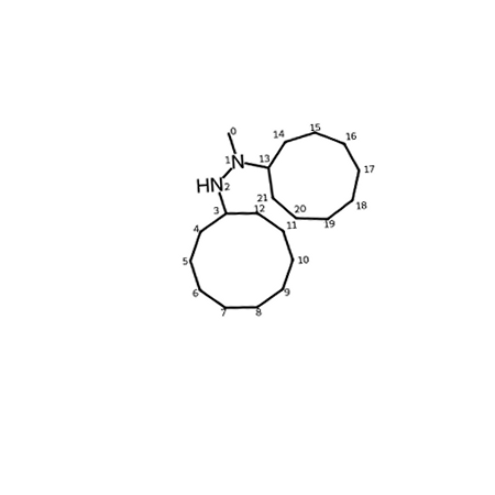 CN(NC1CCCCCCCCC1)C1CCCCCCCC1